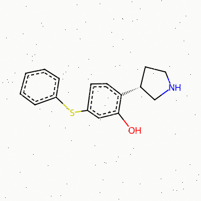 Oc1cc(Sc2ccccc2)ccc1[C@@H]1CCNC1